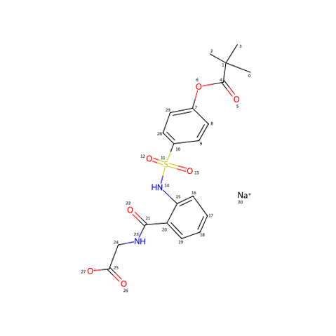 CC(C)(C)C(=O)Oc1ccc(S(=O)(=O)Nc2ccccc2C(=O)NCC(=O)[O-])cc1.[Na+]